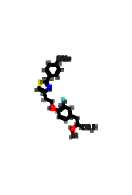 CCOC(Cc1ccc(OCCc2csc(-c3ccc(OC)cc3)n2)c(F)c1)C(=O)O